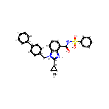 O=C(NS(=O)(=O)c1ccccc1)c1cccc2c1nc(C1CC1)n2Cc1ccc(-c2ccccc2)cc1.[KH]